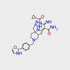 N#CCC1(N/C=C(\C(=N)NC(=O)C2CC2)C(N)=O)CCN(Cc2ccc(C3NC=CO3)cc2)CC1F